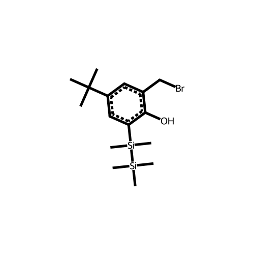 CC(C)(C)c1cc(CBr)c(O)c([Si](C)(C)[Si](C)(C)C)c1